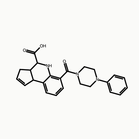 O=C(O)C1Nc2c(C(=O)N3CCN(c4ccccc4)CC3)cccc2C2C=CCC12